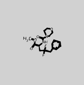 COC(=O)[C@H](CC(F)(F)Cc1ccccc1)NC(=O)N1CCOCC1